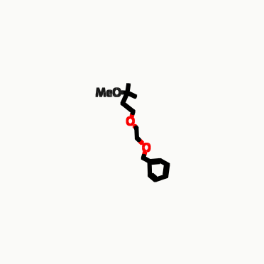 COC(C)(C)CCOCCOCc1ccccc1